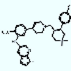 CC1(C)CCC(CN2CC=C(c3ccc(C(=O)O)c(Nc4cnc5[nH]ccc5c4)c3)CC2)=C(c2ccc(Cl)cc2)C1